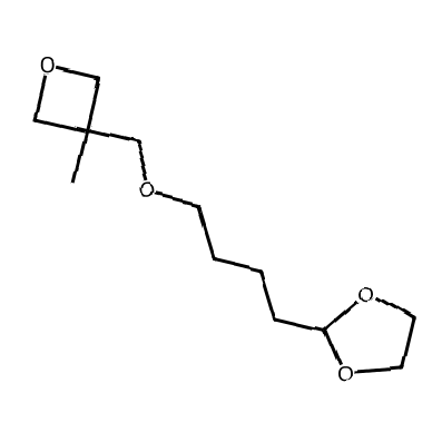 CC1(COCCCCC2OCCO2)COC1